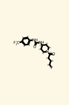 O=C(Nc1ccc(C(F)(F)F)cc1)NC1CCN(C(=O)CCCF)CC1